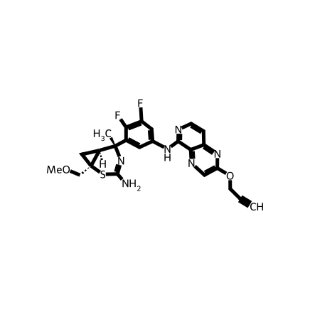 C#CCOc1cnc2c(Nc3cc(F)c(F)c([C@]4(C)N=C(N)S[C@@]5(COC)C[C@H]54)c3)nccc2n1